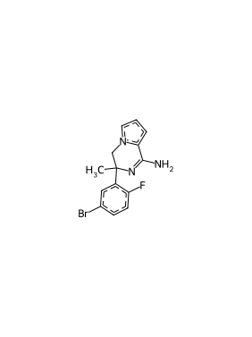 CC1(c2cc(Br)ccc2F)Cn2cccc2C(N)=N1